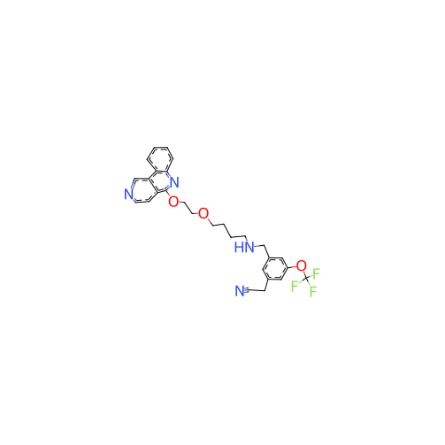 N#CCc1cc(CNCCCCOCCOc2nc3ccccc3c3cnccc23)cc(OC(F)(F)F)c1